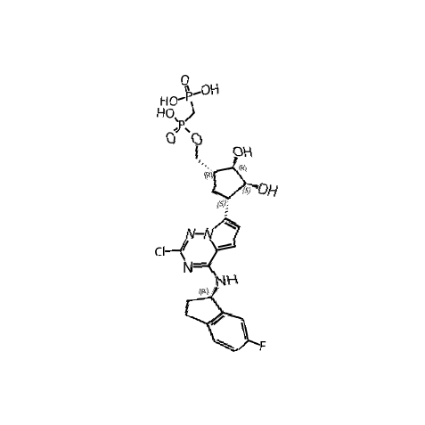 O=P(O)(O)CP(=O)(O)OC[C@H]1C[C@@H](c2ccc3c(N[C@@H]4CCc5ccc(F)cc54)nc(Cl)nn23)[C@H](O)[C@@H]1O